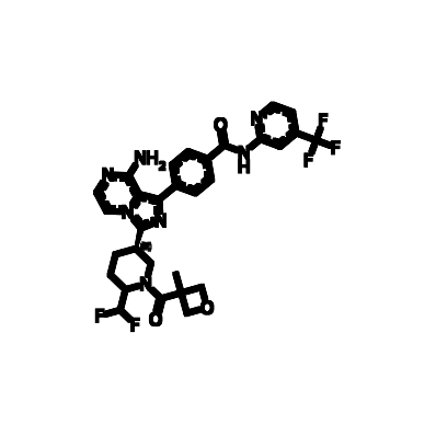 CC1(C(=O)N2C[C@H](c3nc(-c4ccc(C(=O)Nc5cc(C(F)(F)F)ccn5)cc4)c4c(N)nccn34)CCC2C(F)F)COC1